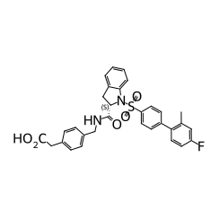 Cc1cc(F)ccc1-c1ccc(S(=O)(=O)N2c3ccccc3C[C@H]2C(=O)NCc2ccc(CC(=O)O)cc2)cc1